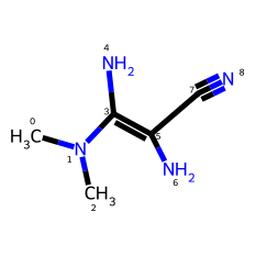 CN(C)C(N)=C(N)C#N